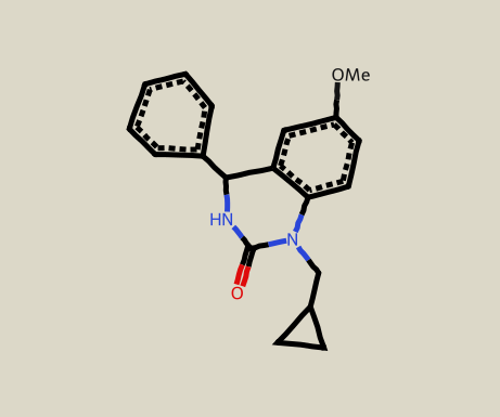 COc1ccc2c(c1)C(c1ccccc1)NC(=O)N2CC1CC1